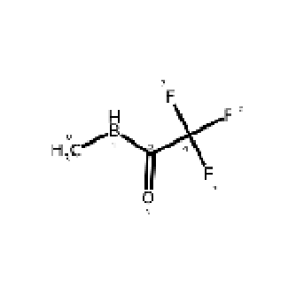 CBC(=O)C(F)(F)F